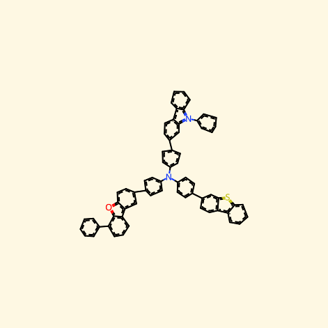 c1ccc(-c2cccc3c2oc2ccc(-c4ccc(N(c5ccc(-c6ccc7c(c6)sc6ccccc67)cc5)c5ccc(-c6ccc7c8ccccc8n(-c8ccccc8)c7c6)cc5)cc4)cc23)cc1